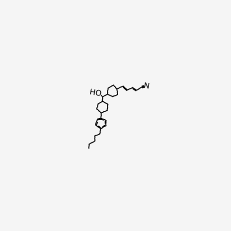 CCCCCc1ccc(C2CCC(C(O)C3CCC(C=CC=CC#N)CC3)CC2)cc1